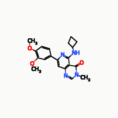 COc1ccc(-c2cc3ncn(C)c(=O)c3c(NC3CCC3)n2)cc1OC